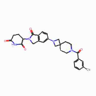 N#Cc1cccc(C(=O)N2CCC3(CC2)CN(c2ccc4c(c2)CN(C2CCC(=O)NC2=O)C4=O)C3)c1